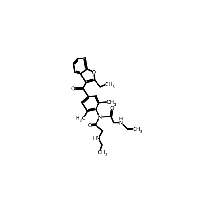 CCNCC(=O)N(C(=O)CNCC)c1c(C)cc(C(=O)c2c(CC)oc3ccccc23)cc1C